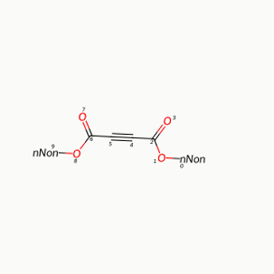 CCCCCCCCCOC(=O)C#CC(=O)OCCCCCCCCC